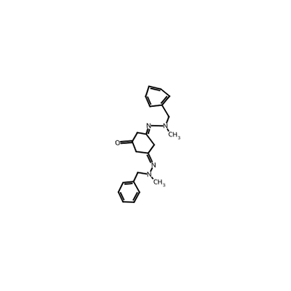 CN(Cc1ccccc1)N=C1CC(=O)CC(=NN(C)Cc2ccccc2)C1